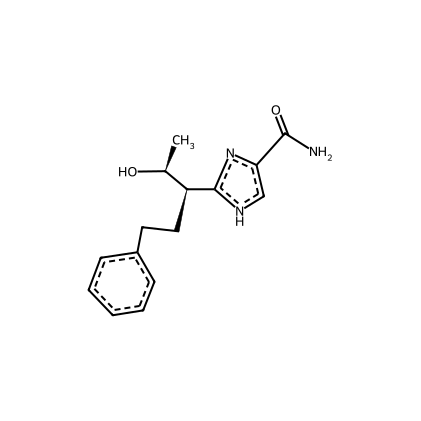 C[C@H](O)[C@H](CCc1ccccc1)c1nc(C(N)=O)c[nH]1